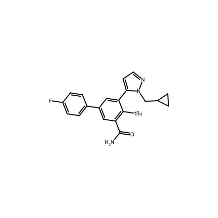 CC(C)(C)c1c(C(N)=O)cc(-c2ccc(F)cc2)cc1-c1ccnn1CC1CC1